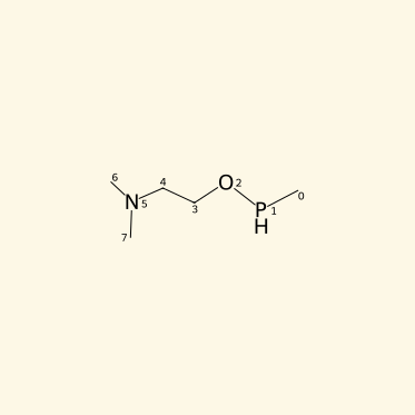 CPOCCN(C)C